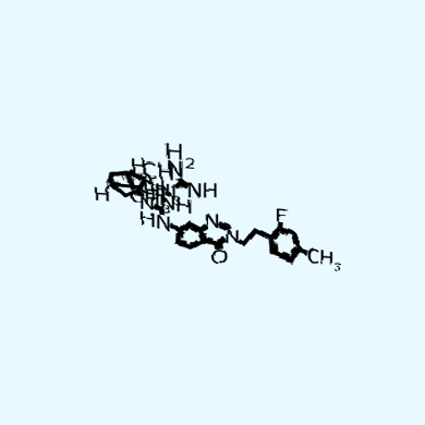 Cc1ccc(CCn2cnc3cc(NC(=N[C@H]4C[C@H]5C[C@H]([C@H]4C)C5(C)C)NNC(=N)N)ccc3c2=O)c(F)c1